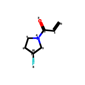 C=CC(=O)N1CC[C@H](F)C1